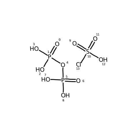 O=P(O)(O)OP(=O)(O)O.O=S(=O)(O)Cl